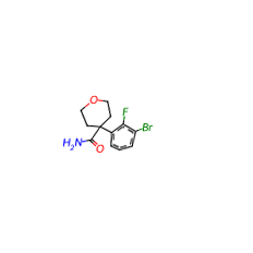 NC(=O)C1(c2cccc(Br)c2F)CCOCC1